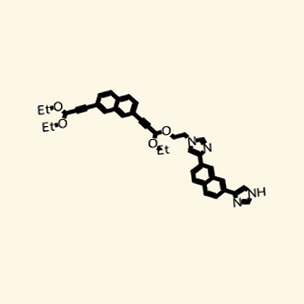 CCOC(C#Cc1ccc2ccc(C#CC(OCC)OCCn3cnc(-c4ccc5ccc(-c6c[nH]cn6)cc5c4)c3)cc2c1)OCC